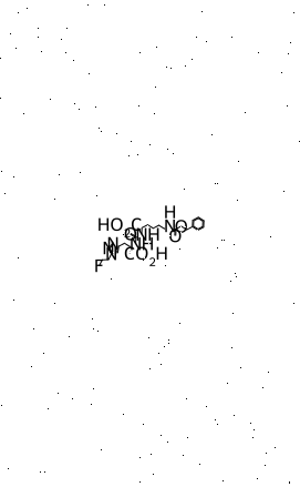 O=C(NC(CCCCNC(=O)OCc1ccccc1)C(=O)O)N[C@@H](Cc1cn(CCF)nn1)C(=O)O